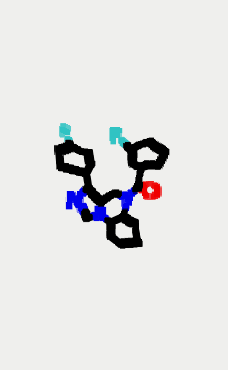 O=C(c1cccc(F)c1)N1Cc2c(-c3ccc(F)cc3)ncn2-c2ccccc21